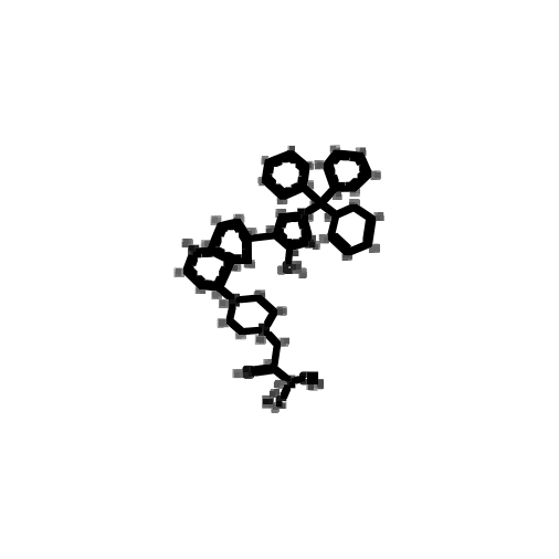 Cc1nn(C(c2ccccc2)(c2ccccc2)C2C=CC=CC2)cc1-c1ccc2nccc(N3CCN(CC(=O)N(C)C)CC3)c2c1